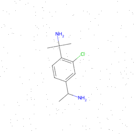 CC(N)c1ccc(C(C)(C)N)c(Cl)c1